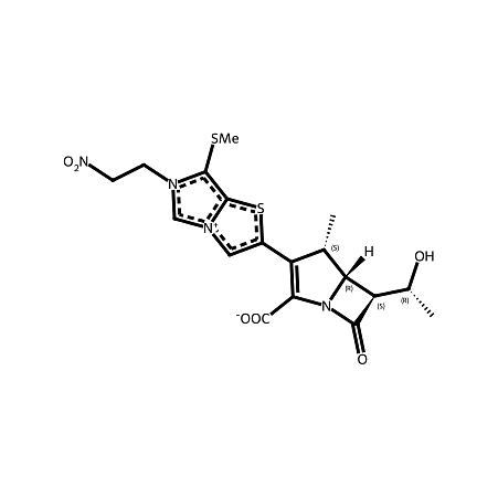 CSc1c2sc(C3=C(C(=O)[O-])N4C(=O)[C@H]([C@@H](C)O)[C@H]4[C@H]3C)c[n+]2cn1CC[N+](=O)[O-]